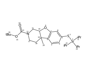 CC(C)[Si](Sc1ccc2c(c1)OC1CN(C(=O)OC(C)(C)C)CCC21C)(C(C)C)C(C)C